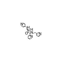 O=C(NCCc1ccncc1)C(NCCc1cccnc1)c1ccccn1